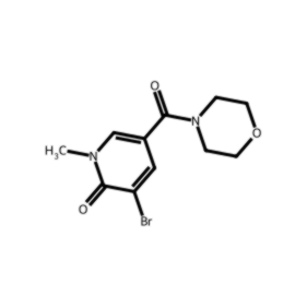 Cn1cc(C(=O)N2CCOCC2)cc(Br)c1=O